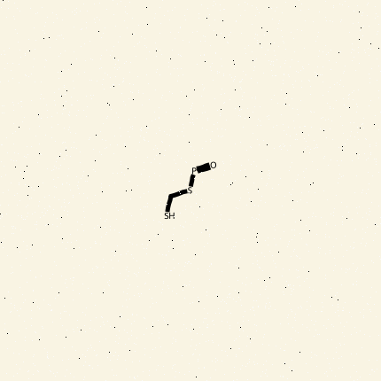 O=PSCS